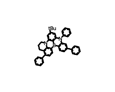 CC(C)(C)c1cc2c3c(c1)N(c1ccccc1)c1cc(-c4ccccc4)ccc1B3c1ccc(-c3ccccc3)c3c1N2CCC3